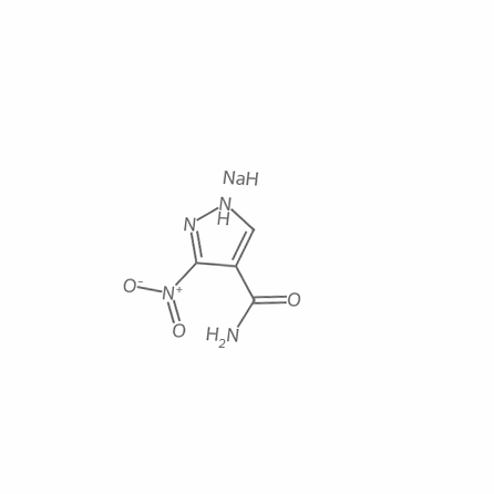 NC(=O)c1c[nH]nc1[N+](=O)[O-].[NaH]